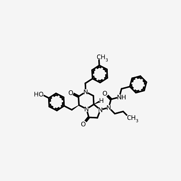 CCCN(C(=O)NCc1ccccc1)N1CC(=O)N2[C@@H](Cc3ccc(O)cc3)C(=O)N(Cc3cccc(C)c3)C[C@@H]21